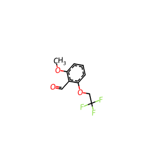 COc1cccc(OCC(F)(F)F)c1C=O